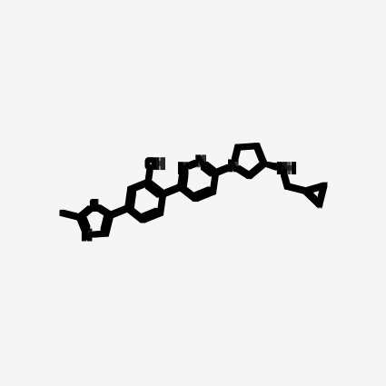 Cc1ncc(-c2ccc(-c3ccc(N4CC[C@@H](NCC5CC5)C4)nn3)c(O)c2)s1